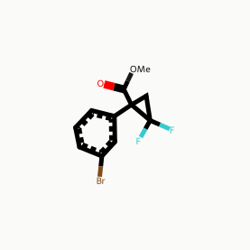 COC(=O)C1(c2cccc(Br)c2)CC1(F)F